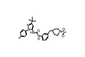 Cc1ccc(-n2nc(C(C)(C)C)cc2NC(=O)Nc2cccc(CC3CCN(S(C)(=O)=O)CC3)c2)cc1